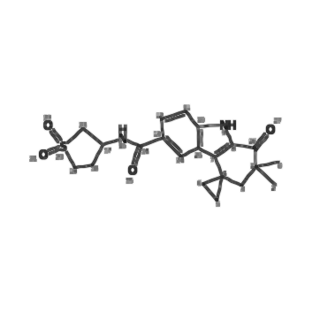 CC1(C)CC2(CC2)c2c([nH]c3ccc(C(=O)NC4CCS(=O)(=O)C4)cc23)C1=O